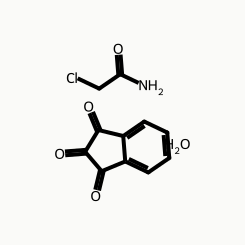 NC(=O)CCl.O.O=c1c(=O)c2ccccc2c1=O